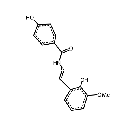 COc1cccc(C=NNC(=O)c2ccc(O)cc2)c1O